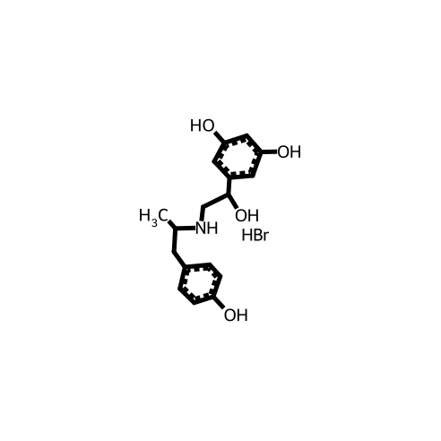 Br.CC(Cc1ccc(O)cc1)NCC(O)c1cc(O)cc(O)c1